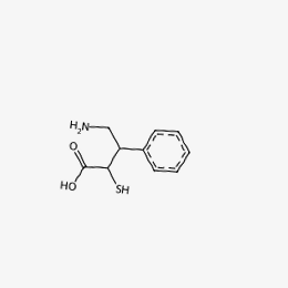 NCC(c1ccccc1)C(S)C(=O)O